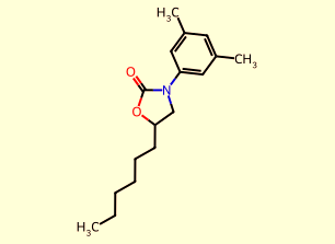 CCCCCCC1CN(c2cc(C)cc(C)c2)C(=O)O1